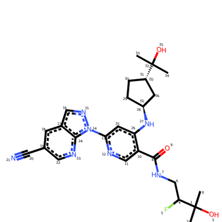 CC(C)(O)C(F)CNC(=O)c1cnc(-n2ncc3cc(C#N)cnc32)cc1N[C@H]1CC[C@H](C(C)(C)O)C1